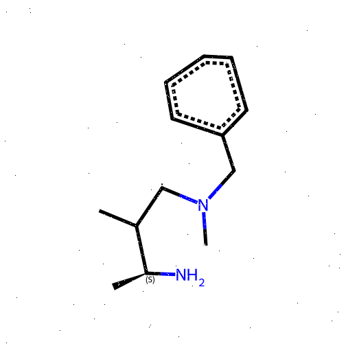 CC([CH]N(C)Cc1ccccc1)[C@H](C)N